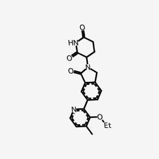 CCOc1c(C)ccnc1-c1ccc2c(c1)C(=O)N(C1CCC(=O)NC1=O)C2